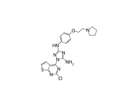 Nc1nc(Nc2ccc(OCCN3CCCC3)cc2)nn1-c1nc(Cl)nc2sccc12